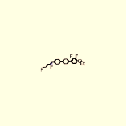 CCOc1ccc(C2CCC(C3CCC(/C=C(\F)CCCF)CC3)CC2)c(F)c1F